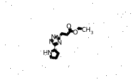 CCOC(=O)CCn1nnc([C@@H]2CCCN2)n1